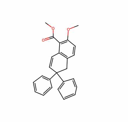 COC(=O)c1c(OC)ccc2c1C=CC(c1ccccc1)(c1ccccc1)C2